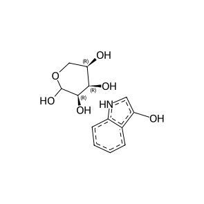 OC1OC[C@@H](O)[C@@H](O)[C@H]1O.Oc1c[nH]c2ccccc12